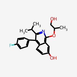 CC(CO)Oc1nc(C(C)C)c(-c2ccc(F)cc2)c2ccc(O)cc12